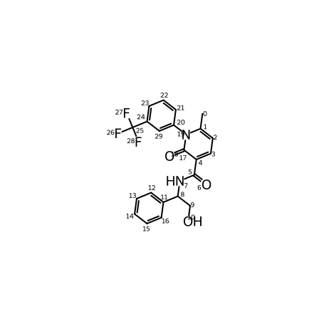 Cc1ccc(C(=O)NC(CO)c2ccccc2)c(=O)n1-c1cccc(C(F)(F)F)c1